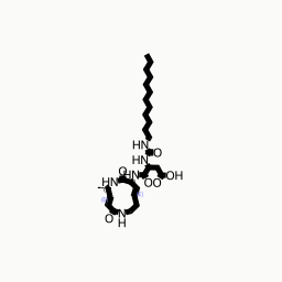 CCCCCCCCCCCCNC(=O)NC(CC(=O)O)C(=O)N[C@H]1/C=C/CCNC(=O)/C=C/[C@H](C)NC1=O